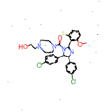 COc1cccc(F)c1C1=NC(c2ccc(Cl)cc2)C(c2ccc(Cl)cc2)N1C(=O)N1CCN(CCO)CC1